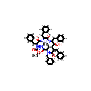 CC(C)CC(C(N)=O)N(Cc1ccccc1)C(=O)C(Cc1ccccc1)CC(O)C(Cc1ccccc1)NC(=O)C(Cc1ccccc1)NC(=O)C(Cc1ccccc1)NC(=O)OC(C)(C)C